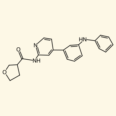 O=C(Nc1cc(-c2cccc(Nc3ccccc3)c2)ccn1)C1CCOC1